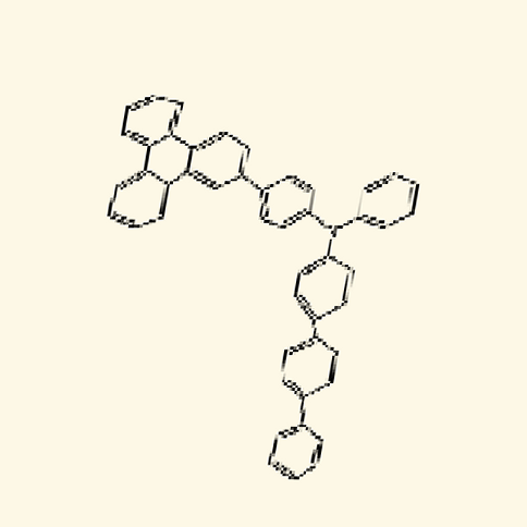 c1ccc(-c2ccc(-c3ccc(N(c4ccccc4)c4ccc(-c5ccc6c7ccccc7c7ccccc7c6c5)cc4)cc3)cc2)cc1